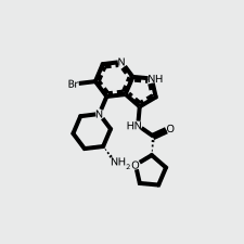 N[C@@H]1CCCN(c2c(Br)cnc3[nH]cc(NC(=O)[C@@H]4CCCO4)c23)C1